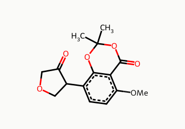 COc1ccc(C2COCC2=O)c2c1C(=O)OC(C)(C)O2